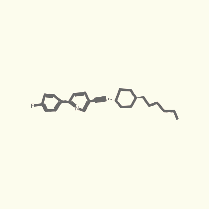 CCCCCC[C@H]1CC[C@H](C#Cc2ccc(-c3ccc(F)cc3)nc2)CC1